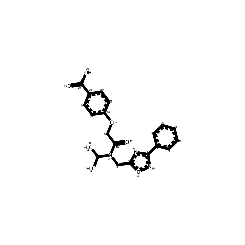 CC(C)N(Cc1nc(-c2ccccc2)no1)C(=O)COc1ccc(C(=O)O)cc1